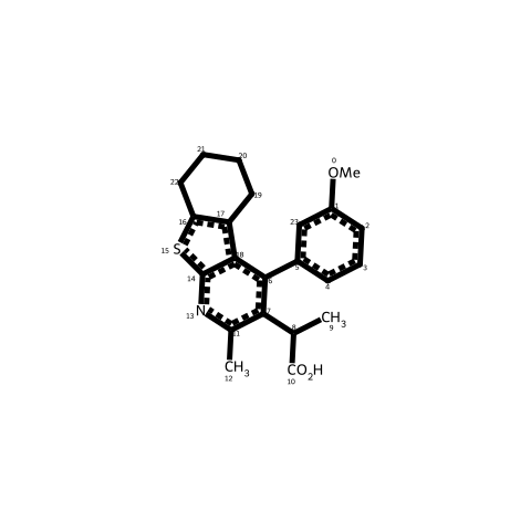 COc1cccc(-c2c(C(C)C(=O)O)c(C)nc3sc4c(c23)CCCC4)c1